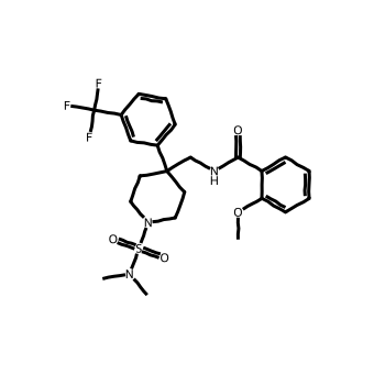 COc1ccccc1C(=O)NCC1(c2cccc(C(F)(F)F)c2)CCN(S(=O)(=O)N(C)C)CC1